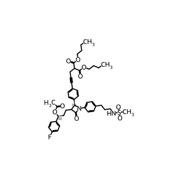 CCCCOC(=O)C(CC#Cc1ccc([C@@H]2C(CC[C@H](OC(C)=O)c3ccc(F)cc3)C(=O)N2c2ccc(CCCNS(C)(=O)=O)cc2)cc1)C(=O)OCCCC